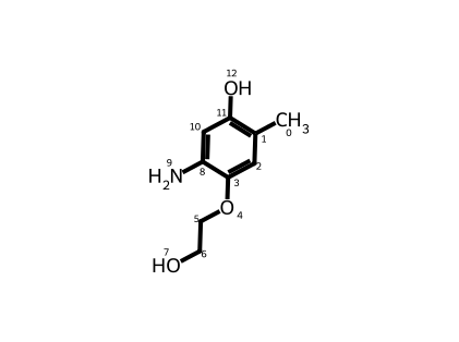 Cc1cc(OCCO)c(N)cc1O